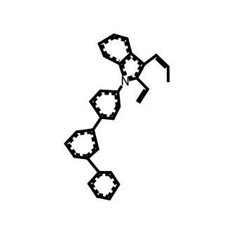 C=Cc1c(/C=C\C)c2ccccc2n1-c1ccc(-c2cccc(-c3ccccc3)c2)cc1